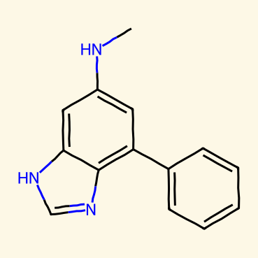 CNc1cc(-c2ccccc2)c2nc[nH]c2c1